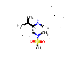 CN[C@H](CN(C)S(C)(=O)=O)C(C)C